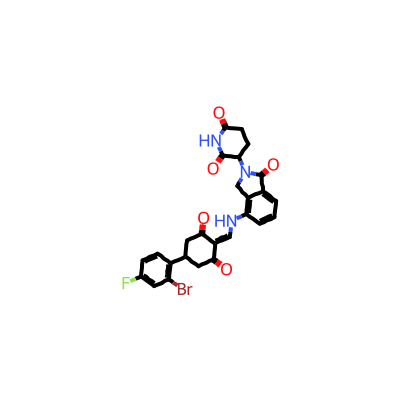 O=C1CCC(N2Cc3c(NC=C4C(=O)CC(c5ccc(F)cc5Br)CC4=O)cccc3C2=O)C(=O)N1